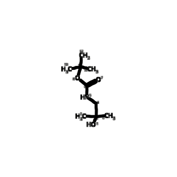 CC(C)(O)CNC(=O)OC(C)(C)C